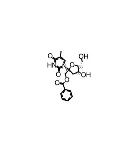 Cc1cn([C@@]2(COC(=O)c3ccccc3)C[C@H](O)[C@@H](CO)O2)c(=O)[nH]c1=O